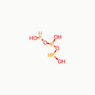 OPOP(O)OPO